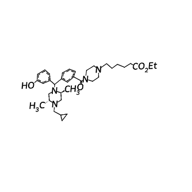 CCOC(=O)CCCCCN1CCN(C(=O)c2cccc(C(c3cccc(O)c3)N3C[C@@H](C)N(CC4CC4)C[C@@H]3C)c2)CC1